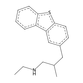 CCNCC(C)Cc1ccc2sc3ccccc3c2c1